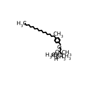 CCCCCCCCCCCCCCC(C)c1ccc(COCC(O[SiH](C)C)C(C)(C)C)cc1